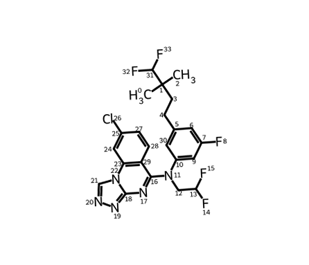 CC(C)(CCc1cc(F)cc(N(CC(F)F)c2nc3nncn3c3cc(Cl)ccc23)c1)C(F)F